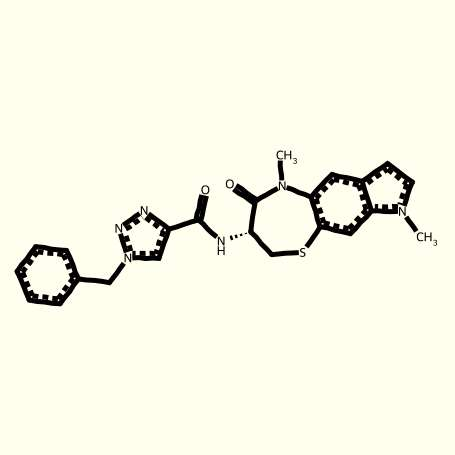 CN1C(=O)[C@@H](NC(=O)c2cn(Cc3ccccc3)nn2)CSc2cc3c(ccn3C)cc21